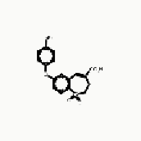 CCCc1ccc(Oc2ccc3c(c2)C=C(C(=O)O)CCS3(=O)=O)cc1